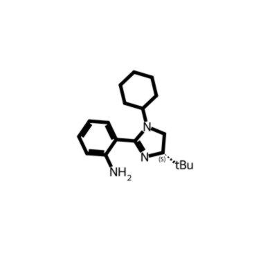 CC(C)(C)[C@H]1CN(C2CCCCC2)C(c2ccccc2N)=N1